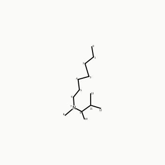 CCCCCCCN(C)C(C)C(C)C